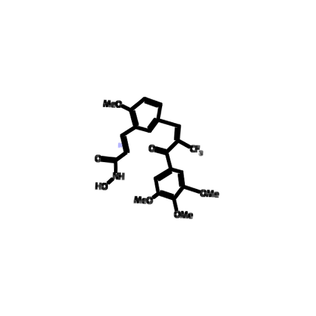 COc1ccc(C=C(C(=O)c2cc(OC)c(OC)c(OC)c2)C(F)(F)F)cc1/C=C/C(=O)NO